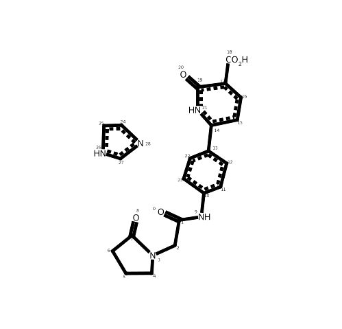 O=C(CN1CCCC1=O)Nc1ccc(-c2ccc(C(=O)O)c(=O)[nH]2)cc1.c1c[nH]cn1